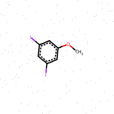 COc1cc(I)[c]c(I)c1